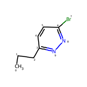 CCCc1ccc(Br)nn1